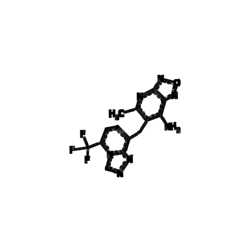 Cc1nc2nonc2c(N)c1Cc1ccc(C(F)(F)F)n2cnnc12